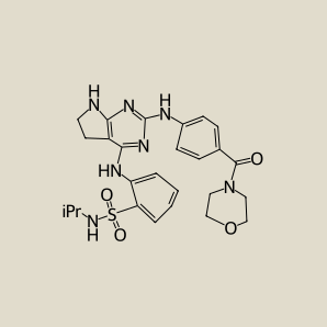 CC(C)NS(=O)(=O)c1ccccc1Nc1nc(Nc2ccc(C(=O)N3CCOCC3)cc2)nc2c1CCN2